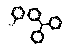 O=[C]c1ccccc1.c1ccc([C](c2ccccc2)c2ccccc2)cc1